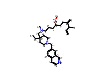 C=CC(C)C(=C)CCC(CCCN(C)CC1(CC)CCN(Cc2ccc3ccncc3c2)CC1)OC